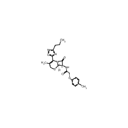 CCCc1noc(C2=C(C)CS[C@@H]3[C@H](NC(=O)COc4ccc(C)cc4)C(=O)N23)n1